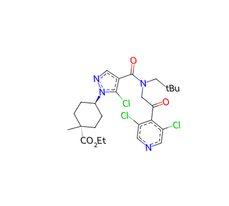 CCOC(=O)[C@]1(C)CC[C@@H](n2ncc(C(=O)N(CC(=O)c3c(Cl)cncc3Cl)CC(C)(C)C)c2Cl)CC1